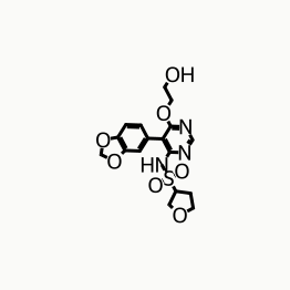 O=S(=O)(Nc1ncnc(OCCO)c1-c1ccc2c(c1)OCO2)C1CCOC1